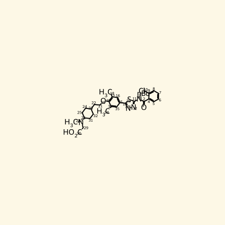 CCCCN(C(=O)c1ccccc1Cl)c1nnc(-c2cc(C)c(OCCC3CCC(N(C)CC(=O)O)CC3)c(C)c2)s1